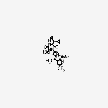 COc1ncc(C(F)(F)F)cc1C(C)n1cc(NC(=O)C(NC(=O)OC(C)(C)C)C(C2CC2)C2CC2)cn1